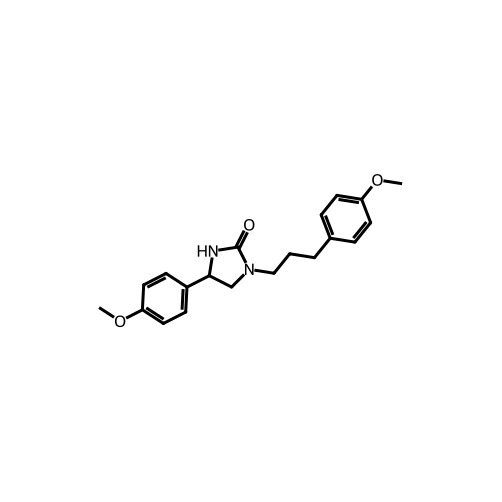 COc1ccc(CCCN2CC(c3ccc(OC)cc3)NC2=O)cc1